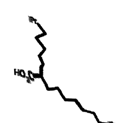 CCC(C)CCCCCCCC(CCCCCC(C)C)C(=O)O